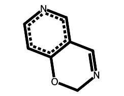 C1=NCOc2ccncc21